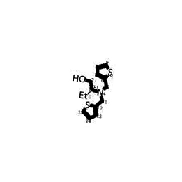 CC[C@H](CO)N(Cc1cccs1)Cc1cccs1